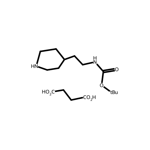 CC(C)(C)OC(=O)NCCC1CCNCC1.O=C(O)CCC(=O)O